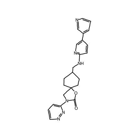 O=C1OC2(CCC(CNc3ccc(-c4cccnc4)cn3)CC2)CN1c1cccnn1